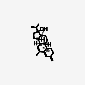 C=C1C=C2C(C)=C[C@@H]3[C@H](CC[C@@]4(C)[C@H]3CC[C@]4(O)C(=C)C)[C@@]2(C)CC1